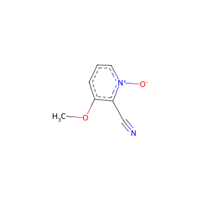 COc1ccc[n+]([O-])c1C#N